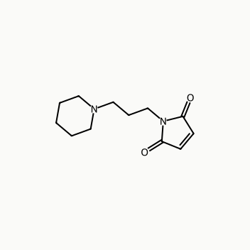 O=C1C=CC(=O)N1CCCN1CCCCC1